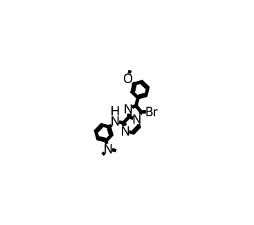 COc1cccc(C2N=C3C(Nc4cccc(N(C)C)c4)=NC=CN3C2Br)c1